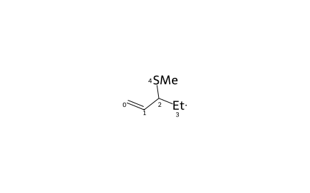 C=CC([CH]C)SC